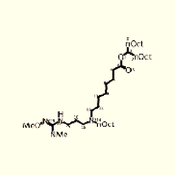 CCCCCCCCC(CCCCCCCC)OC(=O)CCCCCCCN(CCCCCCCC)CCCN/C(=N/OC)NC